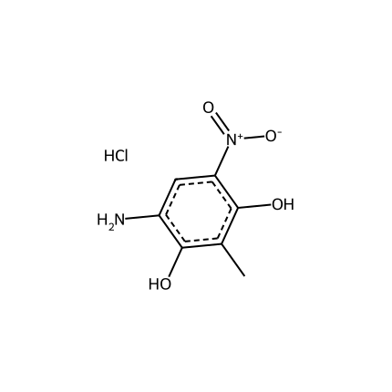 Cc1c(O)c(N)cc([N+](=O)[O-])c1O.Cl